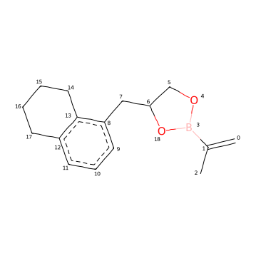 C=C(C)B1OCC(Cc2cccc3c2CCCC3)O1